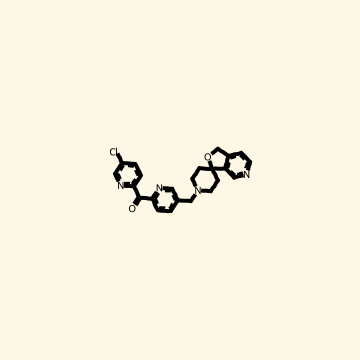 O=C(c1ccc(Cl)cn1)c1ccc(CN2CCC3(CC2)OCc2ccncc23)cn1